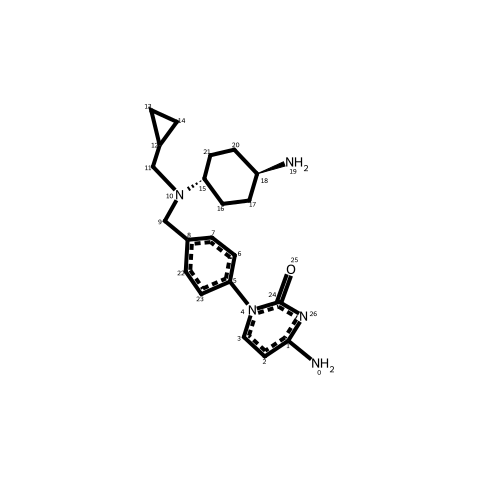 Nc1ccn(-c2ccc(CN(CC3CC3)[C@H]3CC[C@H](N)CC3)cc2)c(=O)n1